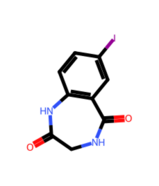 O=C1CNC(=O)c2cc(I)ccc2N1